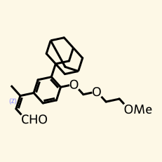 COCCOCOc1ccc(/C(C)=C\C=O)cc1C12CC3CC(CC(C3)C1)C2